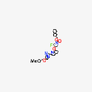 COCCOc1ccn2c(-c3ccc4cccc(OC5CCN(C(=O)OCc6ccc7ccccc7c6)CC5F)c4n3)cnc2c1